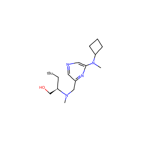 CN(c1cncc(CN(C)[C@@H](CO)CC(C)(C)C)n1)C1CCC1